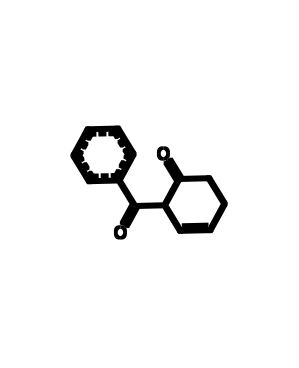 O=C1CCC=CC1C(=O)c1ccccc1